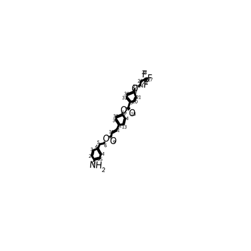 Nc1ccc(CCOC(=O)/C=C/c2ccc(OC(=O)c3ccc(OCCC(F)(F)F)cc3)cc2)cc1